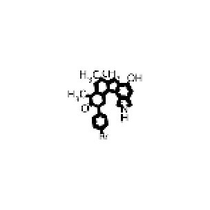 CC1C(=O)C(c2ccc(Br)cc2)CC2=C3C(=Cc4c(O)cc5c[nH]cc5c43)C(C)(C)C=C21